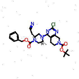 C[C@@H]1CN(C(=O)OCc2ccccc2)[C@@H](CC#N)CN1c1nc(Cl)nc2c1CCN(C(=O)OC(C)(C)C)C2